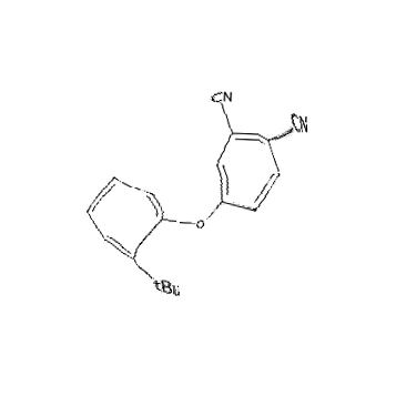 CC(C)(C)c1ccccc1Oc1ccc(C#N)c(C#N)c1